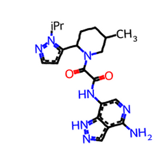 CC1CCC(c2ccnn2C(C)C)N(C(=O)C(=O)Nc2cnc(N)c3cn[nH]c23)C1